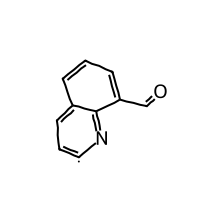 O=Cc1cccc2cc[c]nc12